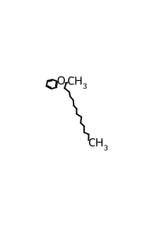 CCCCCCCCCCCCCCC(C)Oc1ccccc1